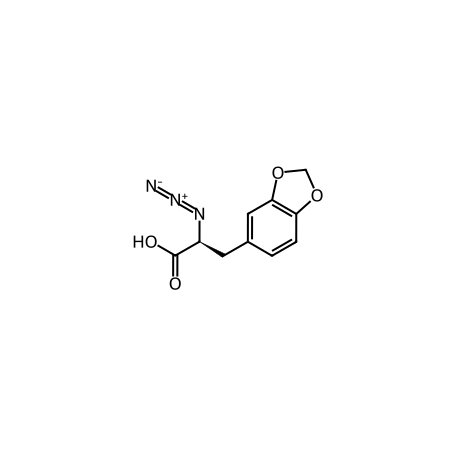 [N-]=[N+]=N[C@@H](Cc1ccc2c(c1)OCO2)C(=O)O